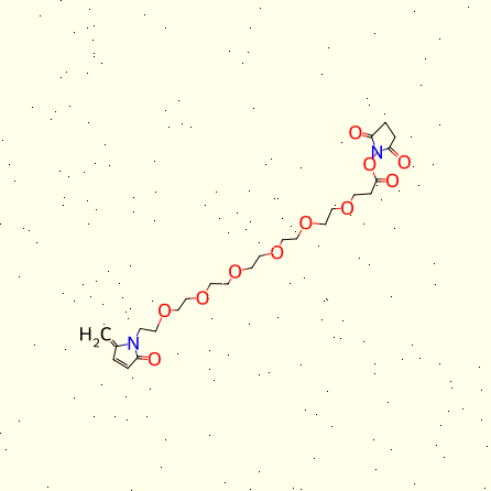 C=C1C=CC(=O)N1CCOCCOCCOCCOCCOCCOCCC(=O)ON1C(=O)CCC1=O